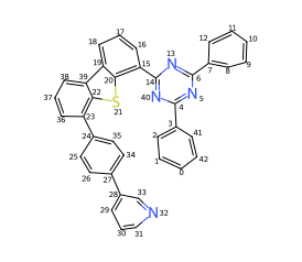 c1ccc(-c2nc(-c3ccccc3)nc(-c3cccc4c3sc3c(-c5ccc(-c6cccnc6)cc5)cccc34)n2)cc1